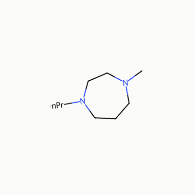 CC[CH]N1CCCN(C)CC1